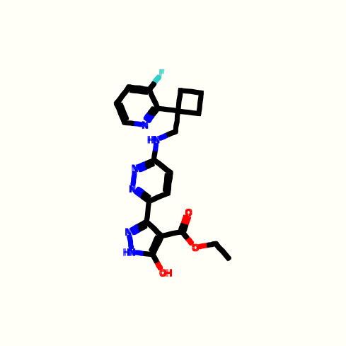 CCOC(=O)c1c(-c2ccc(NCC3(c4ncccc4F)CCC3)nn2)n[nH]c1O